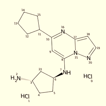 Cl.Cl.N[C@H]1CC[C@H](Nc2cc(C3CCCC3)nc3ccnn23)C1